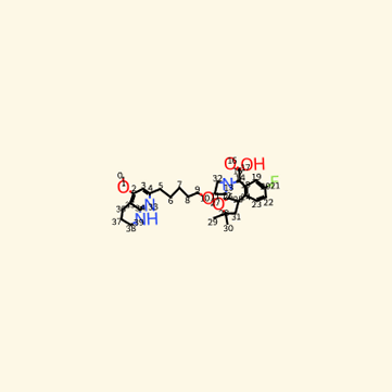 COc1cc(CCCCCOC2CN(C(C(=O)O)c3cc(F)ccc3C3COC(C)(C)C3)C2)nc2c1CCCN2